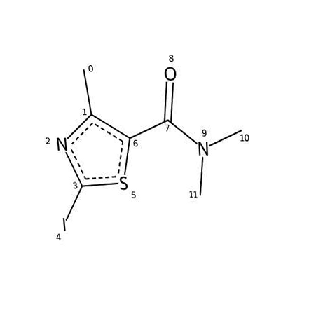 Cc1nc(I)sc1C(=O)N(C)C